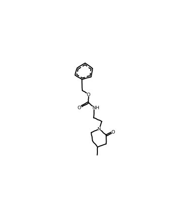 CC1CCN(CCNC(=O)OCc2ccccc2)C(=O)C1